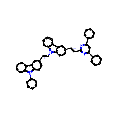 C(=C\c1nc(-c2ccccc2)cc(-c2ccccc2)n1)/c1ccc2c(c1)c1ccccc1n2/C=C/c1ccc2c(c1)c1ccccc1n2-c1ccccc1